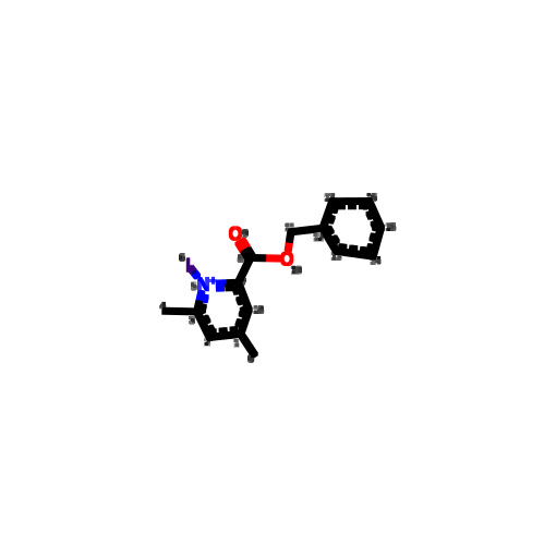 Cc1cc(C)[n+](I)c(C(=O)OCc2ccccc2)c1